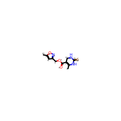 CC1=C(C(=O)OCc2cc(C)on2)CNC(=S)N1